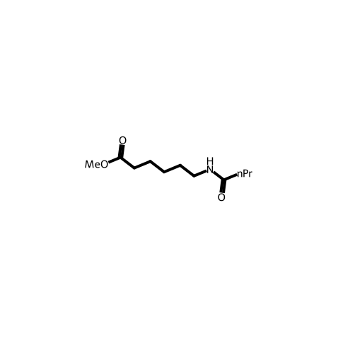 CCCC(=O)NCCCCCC(=O)OC